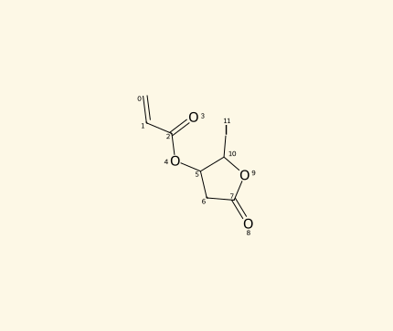 C=CC(=O)OC1CC(=O)OC1I